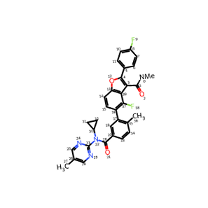 CNC(=O)c1c(-c2ccc(F)cc2)oc2ccc(-c3cc(C(=O)N(c4ncc(C)cn4)C4CC4)ccc3C)c(F)c12